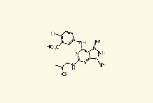 CC(O)CNc1nc(Nc2ccc(Cl)c(C(=O)O)c2)c2c(n1)N(C(C)C)NN2C(C)C